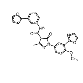 CC1=NN(c2ccc(OC(F)(F)F)c(-c3ncco3)c2)C(=O)C1C(=O)Nc1cccc(-c2ccco2)c1